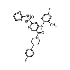 Cc1cc(F)ccc1Nc1cc(S(=O)(=O)Nc2ncccn2)ncc1C(=O)N1CCC(c2ccc(F)cc2)CC1